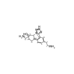 NCCc1ccc(N2CCC(O)(CN)CC2)c(-c2nn[nH]n2)c1